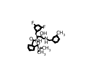 Cc1cccc(CNC[C@@H](O)[C@H](Cc2cc(F)cc(F)c2)NC(=O)c2ccccc2C(=O)N(C)C)c1